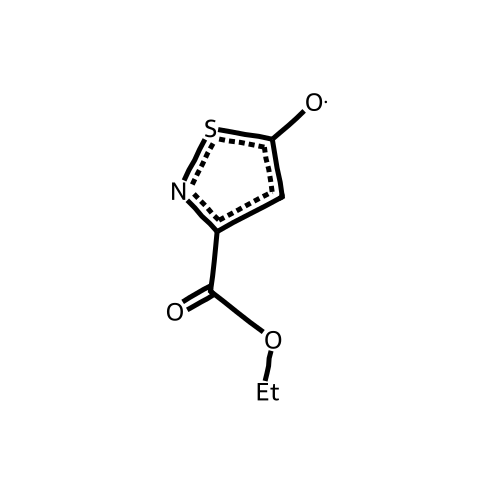 CCOC(=O)c1cc([O])sn1